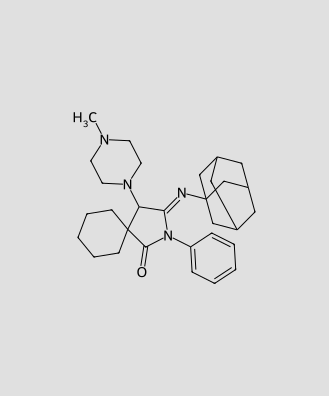 CN1CCN(C2C(=NC34CC5CC(CC(C5)C3)C4)N(c3ccccc3)C(=O)C23CCCCC3)CC1